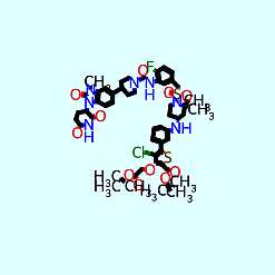 Cn1c(=O)n(C2CCC(=O)NC2=O)c2ccc(C3CCN(C(=O)Nc4cc(CS(=O)(=O)N5CC[C@H](Nc6cccc(-c7sc(C(=O)OC(C)(C)C)c(OCC(=O)OC(C)(C)C)c7Cl)c6)CC5(C)C)ccc4F)CC3)cc21